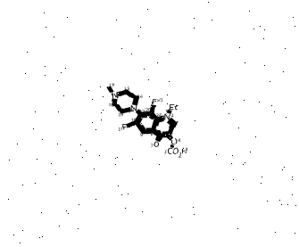 CCn1cc(OC(=O)O)c(=O)c2cc(F)c(N3CCN(C)CC3)c(F)c21